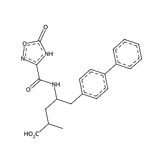 CC(CC(Cc1ccc(-c2ccccc2)cc1)NC(=O)c1noc(=O)[nH]1)C(=O)O